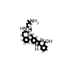 CC(C)(N)CC(=O)N[C@@H]1CCc2ccccc2N(Cc2ccc3[nH]c(-c4ccccc4CO)c(Br)c3c2)C1=O